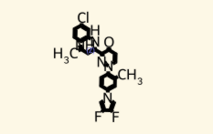 CC(=N)/C=C(\Nc1cccc(Cl)c1)c1nn(-c2ccc(-n3cc(F)c(F)c3)cc2C)ccc1=O